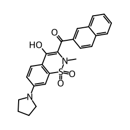 CN1C(C(=O)c2ccc3ccccc3c2)=C(O)c2ccc(N3CCCC3)cc2S1(=O)=O